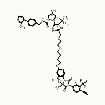 Cc1cc(OCCCCOCCOCC(=N)N[C@H](C(=O)N2C[C@H](O)C[C@H]2C(=O)NCc2ccc(-c3scnc3C)cc2)C(C)(C)C)ncc1N1C(=S)N(c2ccc(C#N)c(C(F)(F)F)c2F)C(=O)C1(C)C